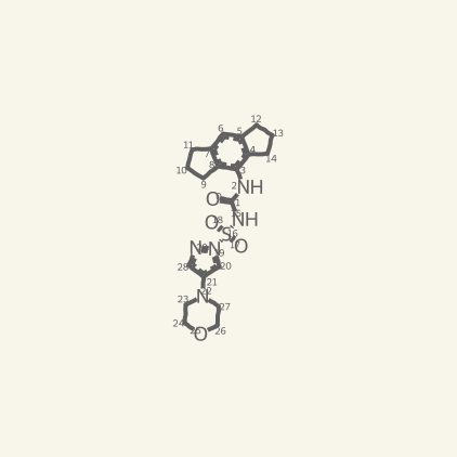 O=C(Nc1c2c(cc3c1CCC3)CCC2)NS(=O)(=O)n1cc(N2CCOCC2)cn1